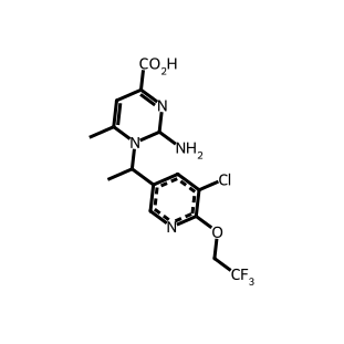 CC1=CC(C(=O)O)=NC(N)N1C(C)c1cnc(OCC(F)(F)F)c(Cl)c1